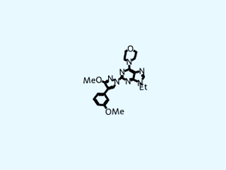 CCn1cnc2c(N3CCOCC3)nc(-n3cc(-c4cccc(OC)c4)c(OC)n3)nc21